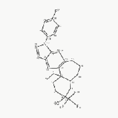 CCC12CCC(O)(C(F)(F)F)CC1CCCc1nc3c(cnn3-c3ccc(F)cc3)cc12